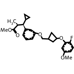 COC(=O)[C@@H](C)[C@H](c1cccc(OCC2CC(Oc3cc(OC)ccc3F)C2)c1)C1CC1